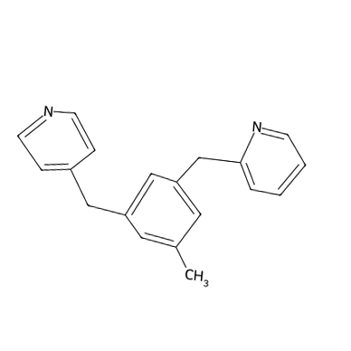 Cc1cc(Cc2ccncc2)cc(Cc2ccccn2)c1